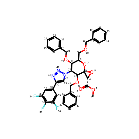 COC(=O)[C@H]1O[C@@]12OC(COCc1ccccc1)[C@H](OCc1ccccc1)C(n1cc(-c3cc(F)c(F)c(F)c3)nn1)C2OCc1ccccc1